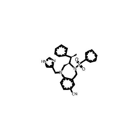 C[C@H](c1ccccc1)[C@@H]1CN(Cc2c[nH]cn2)c2ccc(C#N)cc2CN1S(=O)(=O)c1ccccc1